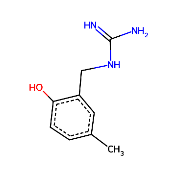 Cc1ccc(O)c(CNC(=N)N)c1